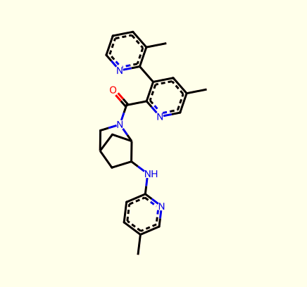 Cc1ccc(NC2CC3CC2N(C(=O)c2ncc(C)cc2-c2ncccc2C)C3)nc1